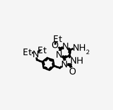 CCOc1nc(N)c2[nH]c(=O)n(Cc3ccc(CN(CC)CC)cc3)c2n1